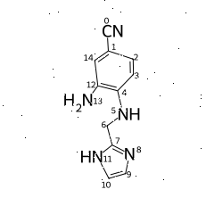 N#Cc1ccc(NCc2ncc[nH]2)c(N)c1